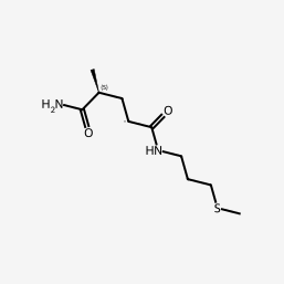 CSCCCNC(=O)[CH]C[C@H](C)C(N)=O